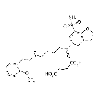 NS(=O)(=O)c1cc(C(=O)CCCCNCCc2ccccc2OC(F)(F)F)cc2c1OCC2.O=C(O)C=CC(=O)O